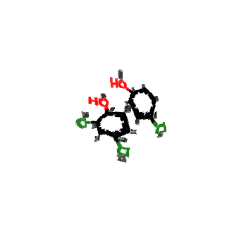 Oc1ccc(Cl)cc1.Oc1ccc(Cl)cc1Cl